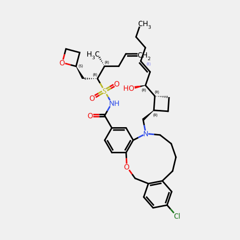 C=CC[C@@H](C)[C@@H](C[C@@H]1CCO1)S(=O)(=O)NC(=O)c1ccc2c(c1)N(C[C@@H]1CC[C@H]1[C@@H](O)/C=C/CCC)CCCCc1cc(Cl)ccc1CO2